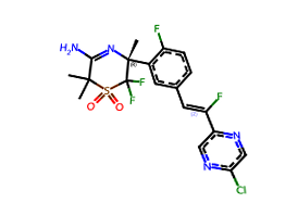 CC1(C)C(N)=N[C@](C)(c2cc(/C=C(\F)c3cnc(Cl)cn3)ccc2F)C(F)(F)S1(=O)=O